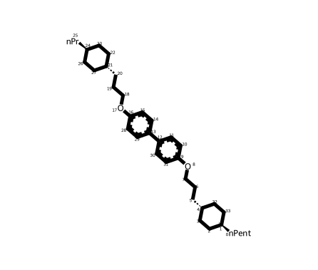 CCCCC[C@H]1CC[C@H](CCCOc2ccc(-c3ccc(OCCC[C@H]4CC[C@H](CCC)CC4)cc3)cc2)CC1